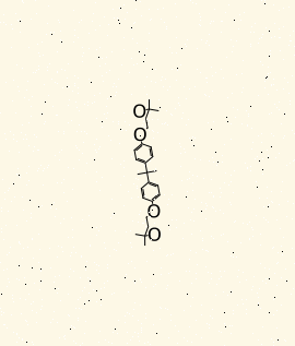 CC(C)(c1ccc(OCC2OC2(C)C)cc1)c1ccc(OCC2OC2(C)C)cc1